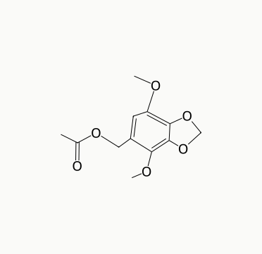 COc1cc(COC(C)=O)c(OC)c2c1OCO2